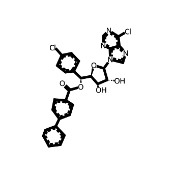 O=C(O[C@H](c1ccc(Cl)cc1)[C@H]1OC(n2cnc3c(Cl)ncnc32)[C@H](O)[C@@H]1O)c1ccc(-c2ccccc2)cc1